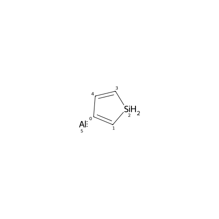 C1=C[SiH2]C=C1.[Al]